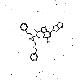 C[C@@H](c1csc2c(N3CC4CCCC4C3)cc(Cl)nc12)[C@@H](F)[C@]1(OCc2ccccc2)O[C@@H]1COCc1ccccc1